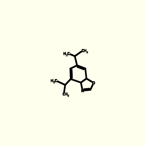 CC(C)C1=CC2OC=NC2C(C(C)C)=C1